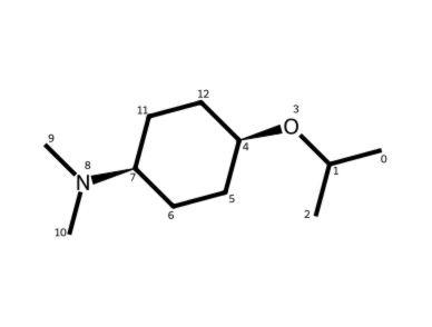 CC(C)O[C@H]1CC[C@@H](N(C)C)CC1